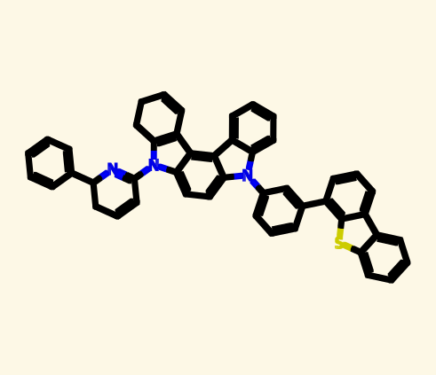 C1=Cc2c(n(C3=NC(c4ccccc4)CC=C3)c3ccc4c(c5ccccc5n4-c4cccc(-c5cccc6c5sc5ccccc56)c4)c23)CC1